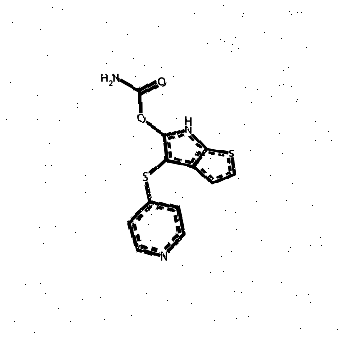 NC(=O)Oc1[nH]c2sccc2c1Sc1ccncc1